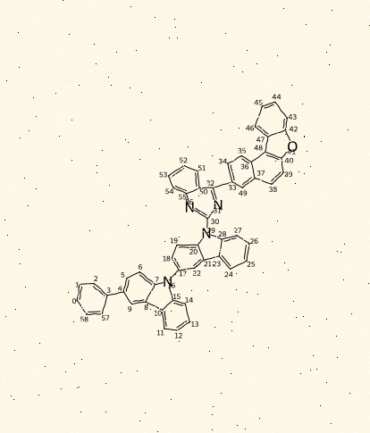 c1ccc(-c2ccc3c(c2)c2ccccc2n3-c2ccc3c(c2)c2ccccc2n3-c2nc(-c3ccc4c(ccc5oc6ccccc6c54)c3)c3ccccc3n2)cc1